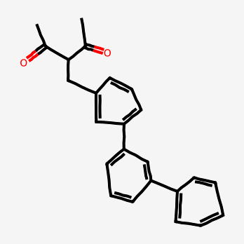 CC(=O)C(Cc1cccc(-c2cccc(-c3ccccc3)c2)c1)C(C)=O